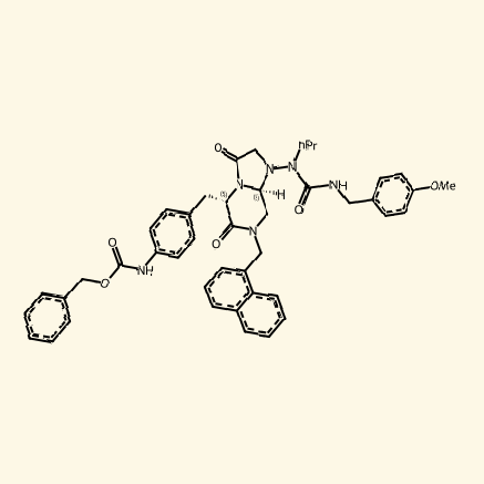 CCCN(C(=O)NCc1ccc(OC)cc1)N1CC(=O)N2[C@@H](Cc3ccc(NC(=O)OCc4ccccc4)cc3)C(=O)N(Cc3cccc4ccccc34)C[C@@H]21